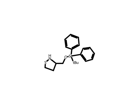 CC(C)(C)[Si](OCC1CCSN1)(c1ccccc1)c1ccccc1